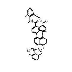 Cc1cccc(C)c1N(C)C(=O)c1ccc2c3ccc(C(=O)N(C=O)c4c(C)cccc4C)c4c(C)ccc(c5ccc(C=O)c1c52)c43